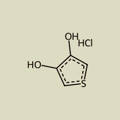 Cl.Oc1cscc1O